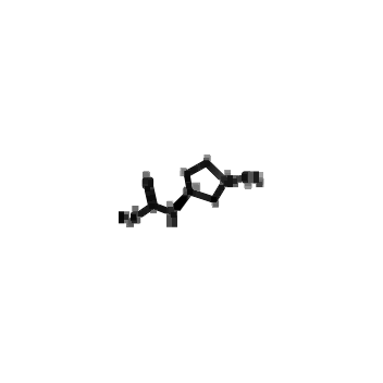 [CH2-][NH+]1CC[C@H](NC(C)=O)C1